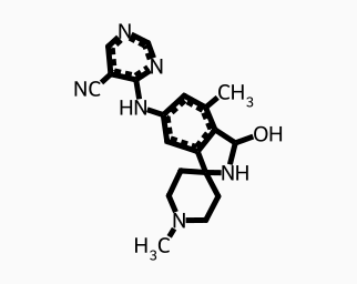 Cc1cc(Nc2ncncc2C#N)cc2c1C(O)NC21CCN(C)CC1